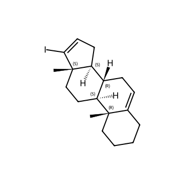 C[C@]12CCCCC1=CC[C@@H]1[C@@H]2CC[C@]2(C)C(I)=CC[C@@H]12